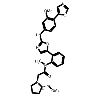 COC[C@@H]1CCCN1CC(=O)N(C)c1ccccc1-c1cnc(Nc2ccc(-c3cnco3)c(OC)c2)o1